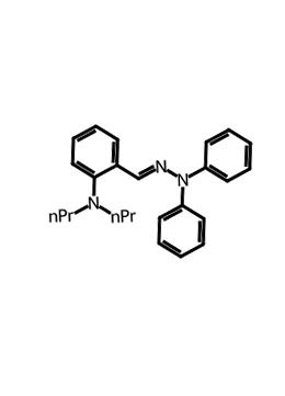 CCCN(CCC)c1ccccc1C=NN(c1ccccc1)c1ccccc1